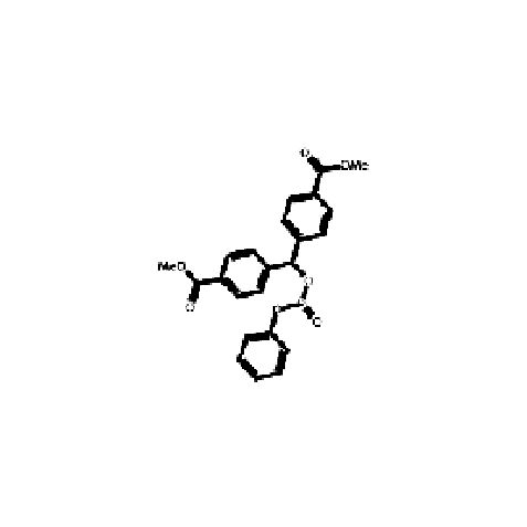 COC(=O)c1ccc(C(O[P](=O)Oc2ccccc2)c2ccc(C(=O)OC)cc2)cc1